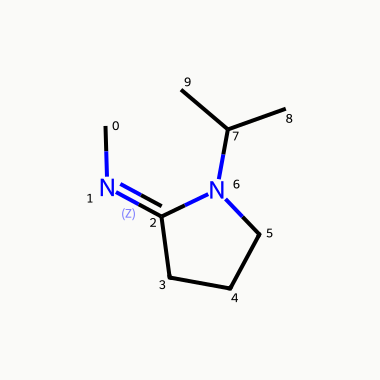 C/N=C1/CCCN1C(C)C